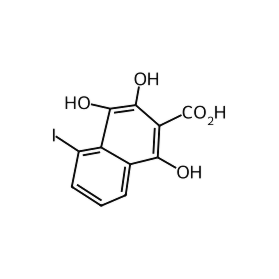 O=C(O)c1c(O)c(O)c2c(I)cccc2c1O